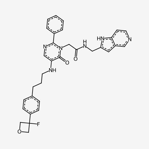 O=C(Cn1c(-c2ccccc2)ncc(NCCCc2ccc(C3(F)COC3)cc2)c1=O)NCc1cc2cnccc2[nH]1